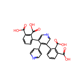 O=C(O)c1cccc(-c2cncc(-c3cccc(C(=O)O)c3C(=O)O)c2-c2ccncc2)c1C(=O)O